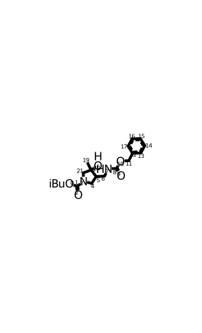 CC(C)COC(=O)N1CC(CNC(=O)OCc2ccccc2)C(C)(O)C1